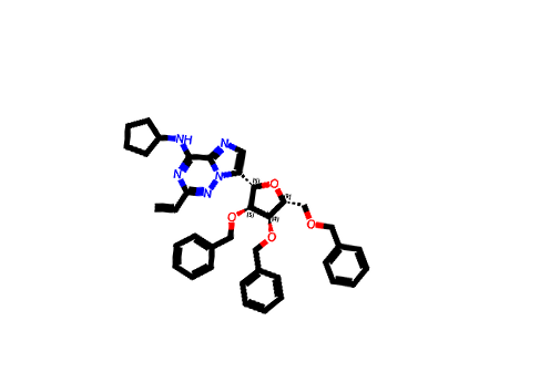 C=Cc1nc(NC2CCCC2)c2ncc([C@@H]3O[C@H](COCc4ccccc4)[C@@H](OCc4ccccc4)[C@H]3OCc3ccccc3)n2n1